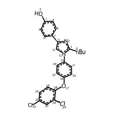 CCCCc1nc(-c2ccc(O)cc2)cn1-c1ccc(Oc2ccc(Cl)cc2Cl)cc1